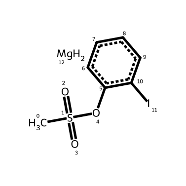 CS(=O)(=O)Oc1ccccc1I.[MgH2]